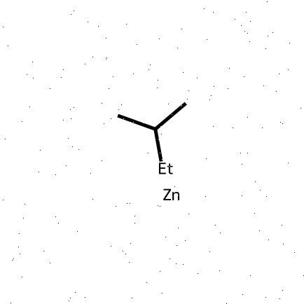 CCC(C)C.[Zn]